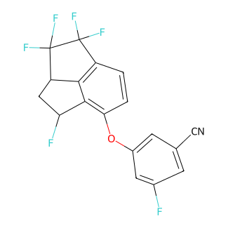 N#Cc1cc(F)cc(Oc2ccc3c4c2C(F)CC4C(F)(F)C3(F)F)c1